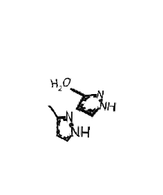 Cc1cc[nH]n1.Cc1cc[nH]n1.O